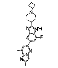 Cc1cn2nc(-c3cc(F)c4[nH]c(C5CCN(C6CCC6)CC5)nc4c3)cc(C)c2n1